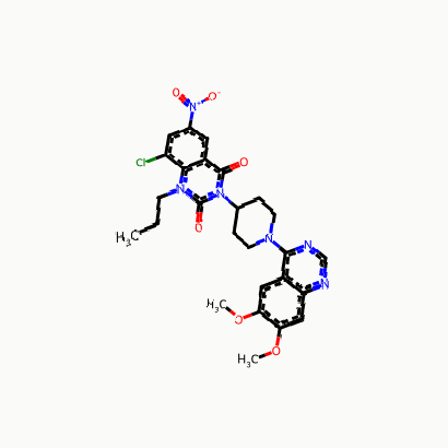 CCCn1c(=O)n(C2CCN(c3ncnc4cc(OC)c(OC)cc34)CC2)c(=O)c2cc([N+](=O)[O-])cc(Cl)c21